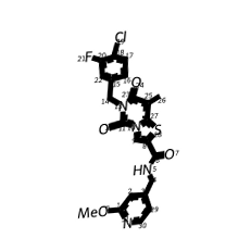 COc1cc(CNC(=O)c2cn3c(=O)n(Cc4ccc(Cl)c(F)c4)c(=O)c(C)c3s2)ccn1